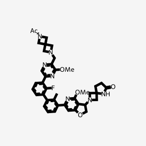 COc1nc(-c2cccc(-c3cccc(-c4cc5c(c(OC)n4)C(N4CC6(CCC(=O)N6)C4)CO5)c3C)c2F)cnc1CN1CC2(C1)CN(C(C)=O)C2